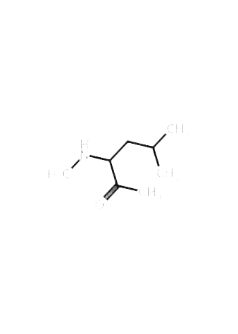 CNC(CC(C)C)C(C)=O